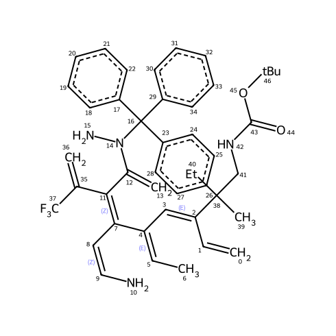 C=C\C(=C/C(=C\C)C(/C=C\N)=C(\C(=C)N(N)C(c1ccccc1)(c1ccccc1)c1ccccc1)C(=C)C(F)(F)F)C(C)(CC)CNC(=O)OC(C)(C)C